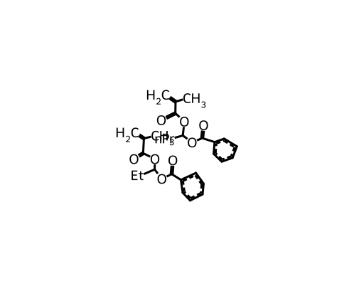 C=C(C)C(=O)OC(CC)OC(=O)c1ccccc1.C=C(C)C(=O)OC(CCC)OC(=O)c1ccccc1